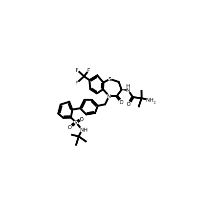 CC(C)(C)NS(=O)(=O)c1ccccc1-c1ccc(CN2C(=O)[C@H](NC(=O)C(C)(C)N)CSc3cc(C(F)(F)F)ccc32)cc1